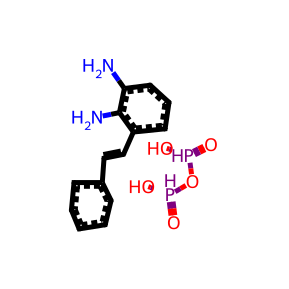 Nc1cccc(C=Cc2ccccc2)c1N.O=[PH](O)O[PH](=O)O